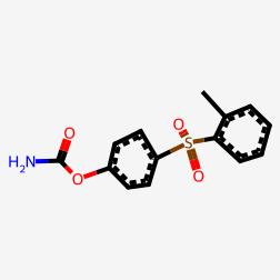 Cc1ccccc1S(=O)(=O)c1ccc(OC(N)=O)cc1